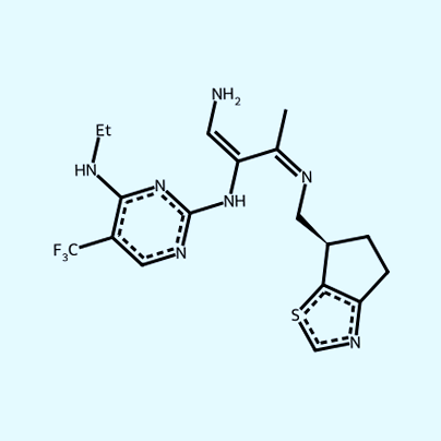 CCNc1nc(NC(=C/N)/C(C)=N\C[C@H]2CCc3ncsc32)ncc1C(F)(F)F